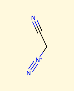 N#CC[N+]#N